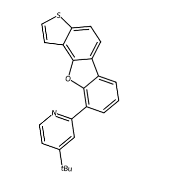 CC(C)(C)c1ccnc(-c2cccc3c2oc2c4ccsc4ccc32)c1